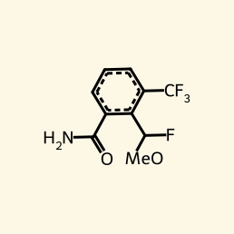 COC(F)c1c(C(N)=O)cccc1C(F)(F)F